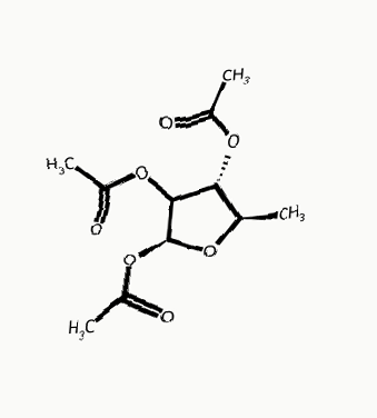 CC(=O)OC1[C@H](OC(C)=O)O[C@H](C)[C@H]1OC(C)=O